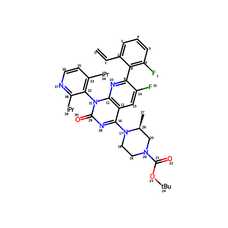 C=Cc1cccc(F)c1-c1nc2c(cc1F)c(N1CCN(C(=O)OC(C)(C)C)C[C@@H]1C)nc(=O)n2-c1c(C(C)C)ccnc1C(C)C